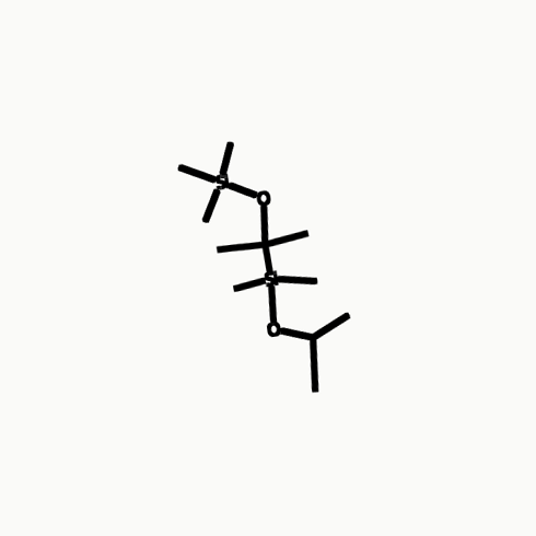 CC(C)O[Si](C)(C)C(C)(C)O[Si](C)(C)C